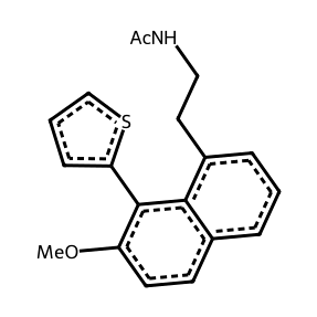 COc1ccc2cccc(CCNC(C)=O)c2c1-c1cccs1